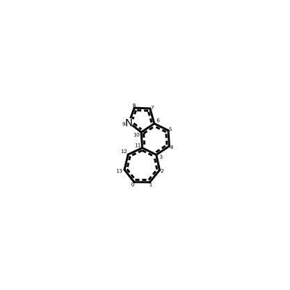 c1ccc2ccc3ccnc3c2cc1